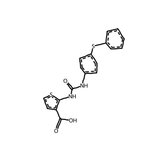 O=C(Nc1ccc(Sc2ccccc2)cc1)Nc1sccc1C(=O)O